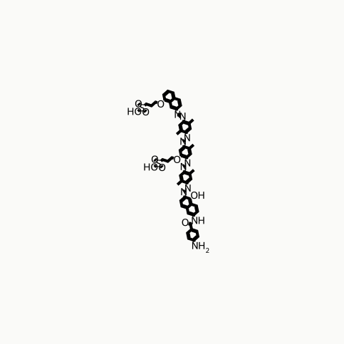 Cc1cc(N=Nc2cc(OCCCS(=O)(=O)O)c(N=Nc3cc(C)c(N=Nc4ccc5cc(NC(=O)c6ccc(N)cc6)ccc5c4O)cc3C)cc2C)c(C)cc1N=Nc1ccc2cccc(OCCCS(=O)(=O)O)c2c1